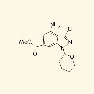 COC(=O)c1cc(N)c2c(Cl)nn(C3CCCCO3)c2c1